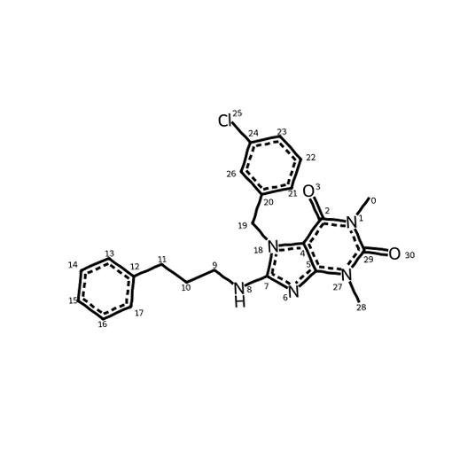 Cn1c(=O)c2c(nc(NCCCc3ccccc3)n2Cc2cccc(Cl)c2)n(C)c1=O